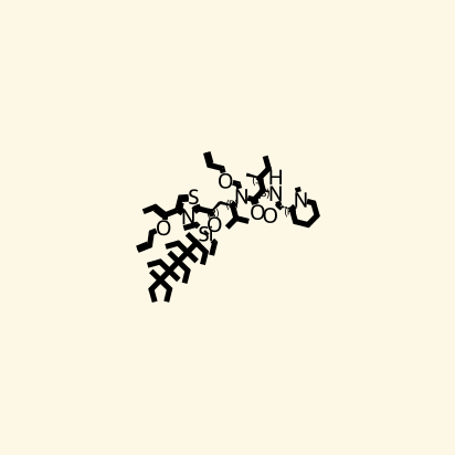 C=CCOCN(C(=O)[C@@H](NC(=O)[C@H]1CCCCN1C)[C@@H](C)CC)[C@H](C[C@@H](O[Si](CC)(CC)C(C)(CC)C(C)(CC)C(C)(CC)C(C)(CC)C(C)(CC)CC)c1nc(C(=CC)OCC=C)cs1)C(C)C